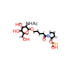 CC(=O)NC1C(OCCCCC(=O)N2CCC[C@H]2OPO)OC(CO)C(O)C1O